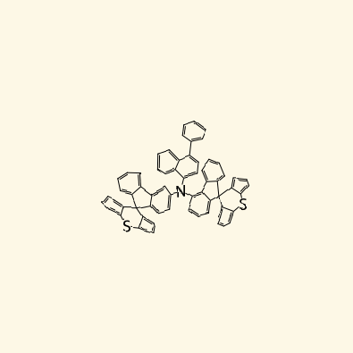 c1ccc(-c2ccc(N(c3ccc4c(c3)-c3ccccc3C43c4ccccc4Sc4ccccc43)c3cccc4c3-c3ccccc3C43c4ccccc4Sc4ccccc43)c3ccccc23)cc1